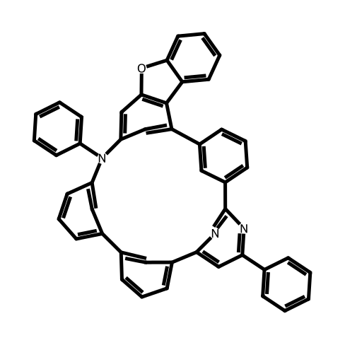 c1ccc(-c2cc3nc(n2)-c2cccc(c2)-c2cc(cc4oc5ccccc5c24)N(c2ccccc2)c2cccc(c2)-c2cccc-3c2)cc1